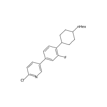 CCCCCCC1CCC(c2ccc(-c3ccc(Cl)nc3)cc2F)CC1